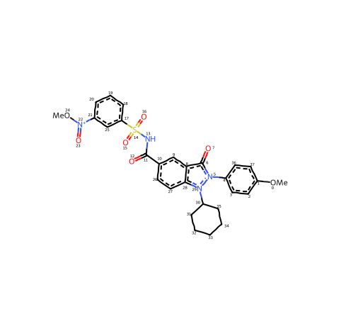 COc1ccc(-n2c(=O)c3cc(C(=O)NS(=O)(=O)c4cccc([N+](=O)OC)c4)ccc3n2C2CCCCC2)cc1